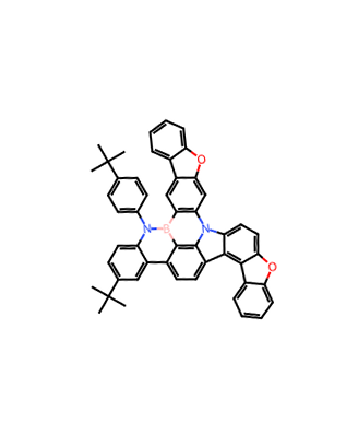 CC(C)(C)c1ccc(N2B3c4cc5c(cc4-n4c6ccc7oc8ccccc8c7c6c6ccc(c3c64)-c3cc(C(C)(C)C)ccc32)oc2ccccc25)cc1